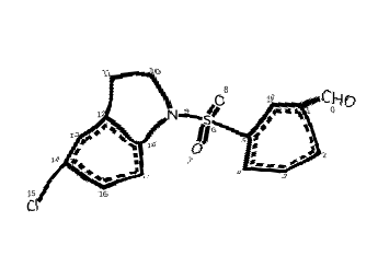 O=Cc1cccc(S(=O)(=O)N2CCc3cc(Cl)ccc32)c1